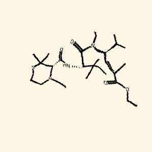 CCOC(=O)/C(C)=C/[C@H](C(C)C)N(C)C(=O)[C@@H](NC(=O)[C@@H]1N(C)CCSC1(C)C)C(C)(C)C